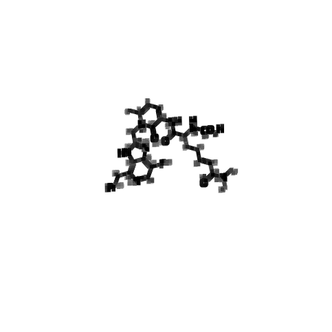 Cc1ccc(NC(=O)C(CC/C=C/C(=O)N(C)C)NC(=O)O)c(=O)n1Cc1nc2c(F)cnc(CC(C)C)c2[nH]1